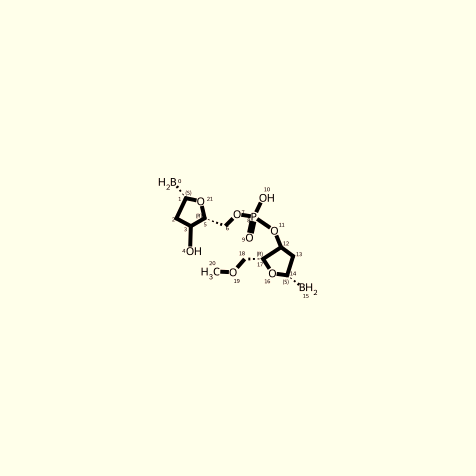 B[C@H]1CC(O)[C@@H](COP(=O)(O)OC2C[C@H](B)O[C@@H]2COC)O1